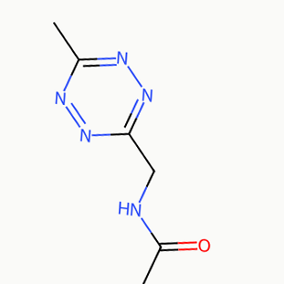 CC(=O)NCc1nnc(C)nn1